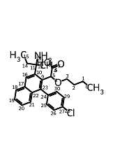 CCCCOC(C(=O)O)c1c(C(C)(N)CC)cc2ccccc2c1-c1ccc(Cl)cc1